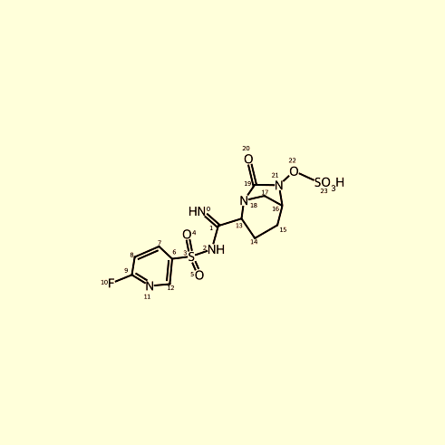 N=C(NS(=O)(=O)c1ccc(F)nc1)C1CCC2CN1C(=O)N2OS(=O)(=O)O